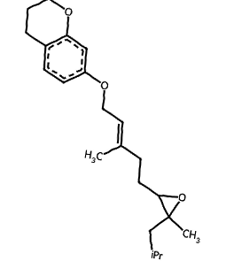 C/C(=C\COc1ccc2c(c1)OCCC2)CCC1OC1(C)CC(C)C